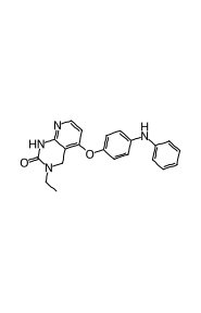 CCN1Cc2c(Oc3ccc(Nc4ccccc4)cc3)ccnc2NC1=O